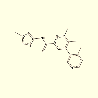 Cc1csc(NC(=O)c2cc(-c3cnccc3C)c(C)c(C)n2)n1